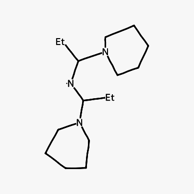 CCC([N]C(CC)N1CCCCC1)N1CCCCC1